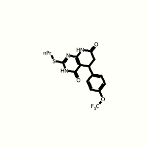 CCCSc1nc2c(c(=O)[nH]1)C(c1ccc(OC(F)(F)F)cc1)CC(=O)N2